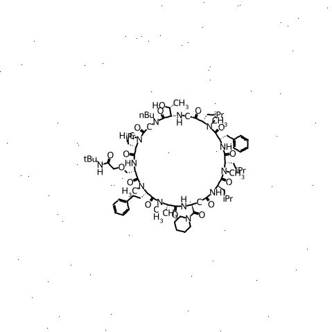 CCCCN1CC(=O)N(C)[C@@H](CC(C)C)C(=O)N[C@@H](COCC(=O)NC(C)(C)C)C(=O)N(C)[C@@H](CCc2ccccc2)C(=O)N(C)[C@@H](C)C(=O)N[C@H](C(=O)N2CCCCC2)CC(=O)N[C@H](CC(C)C)C(=O)N(C)[C@@H](CC(C)C)C(=O)N[C@@H](Cc2ccccc2)C(=O)N(C)[C@@H](CC(C)C)C(=O)CN[C@@H]([C@@H](C)O)C1=O